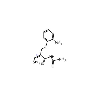 N=C(NC(N)=O)/C(=C\S)COc1ccccc1N